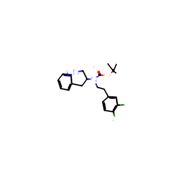 CC(C)(C)OC(=O)N(CCc1ccc(Cl)c(Cl)c1)C1CNc2ccccc2C1